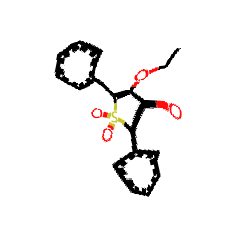 CCOC1=C(c2ccccc2)S(=O)(=O)C(c2ccccc2)C1=O